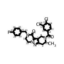 C[C@@H]1Cc2nn3c(c2CN1C(=O)c1ccc(Cl)c(Cl)c1)C(=O)N(Cc1ccc(F)cc1)CC3